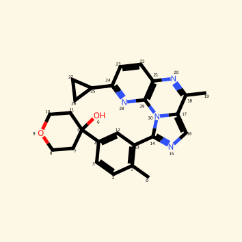 Cc1ccc(C2(O)CCOCC2)cc1-c1ncc2c(C)nc3ccc(C4CC4)nc3n12